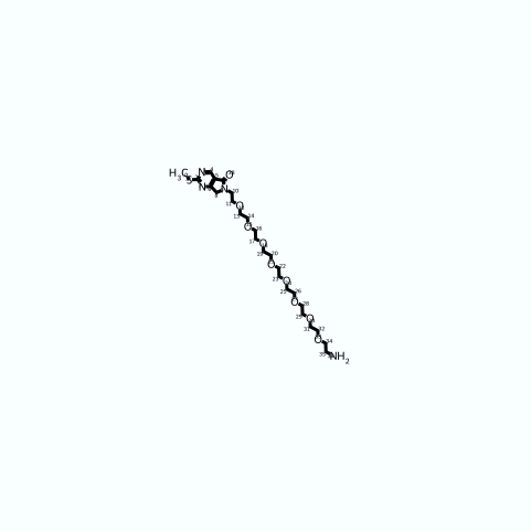 CSc1ncc2c(n1)CN(CCOCCOCCOCCOCCOCCOCCOCCOCCN)C2=O